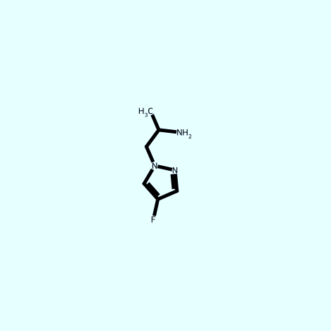 CC(N)Cn1cc(F)cn1